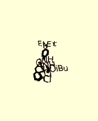 CCN(CC)c1ccc(NC(=O)C2(NC(=O)OCC(C)C)CCc3cccc(Cl)c3C2)cc1